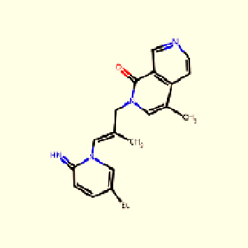 CCc1ccc(=N)n(/C=C(\C)Cn2cc(C)c3ccncc3c2=O)c1